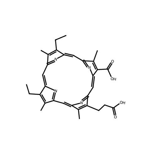 CCC1=C(C)C2=NC1=CC1=NC(=CC3=NC(=CC4=NC(=C2)C(C)=C4CCC(=O)O)C(C(=O)O)=C3C)C(CC)=C1C